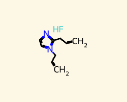 C=CCc1nccn1CC=C.F